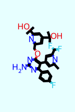 Cc1cc(-c2c(OCc3cc(C(C)(C)O)cc(C(C)(C)O)n3)nc(N)nc2-c2ccc(F)cc2)cc(C(F)F)n1